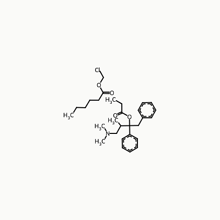 CCC(=O)OC(Cc1ccccc1)(c1ccccc1)C(C)CN(C)C.CCCCCC(=O)OCCl